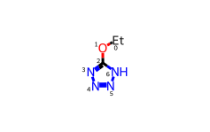 [CH2]COc1nnn[nH]1